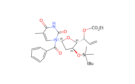 C=CC(OC(=O)OCC)[C@H]1O[C@@H]([N+]2(C(=O)c3ccccc3)C=C(C)C(=O)NC2=O)C[C@@H]1O[Si](C)(C)C(C)(C)C